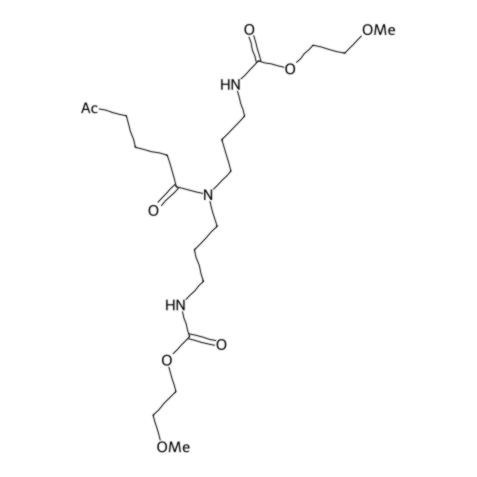 COCCOC(=O)NCCCN(CCCNC(=O)OCCOC)C(=O)CCCC(C)=O